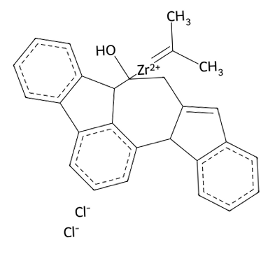 C[C](C)=[Zr+2][CH]1c2ccccc2-c2cccc(C3C(CCO)=Cc4ccccc43)c21.[Cl-].[Cl-]